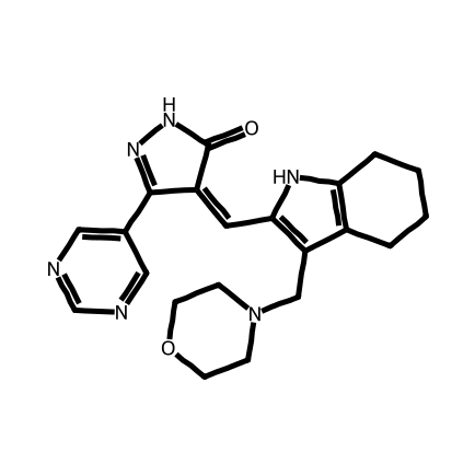 O=C1NN=C(c2cncnc2)C1=Cc1[nH]c2c(c1CN1CCOCC1)CCCC2